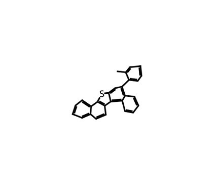 Cc1ccccc1-c1cc2sc3c4ccccc4ccc3c2c2ccccc12